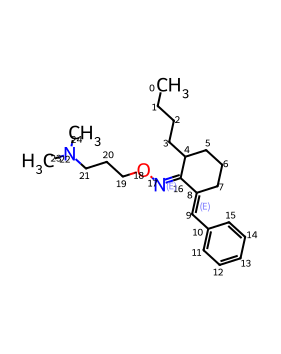 CCCCC1CCCC(=C\c2ccccc2)/C1=N/OCCCN(C)C